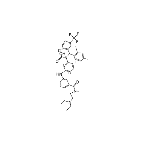 CCN(CC)CCN(C)C(=O)c1cccc(Nc2nccc(N(C(=O)O)C(c3cc(C(F)(F)F)ccc3Cl)c3c(C)cc(C)cc3C)n2)c1